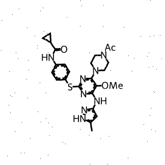 COc1c(Nc2cc(C)[nH]n2)nc(Sc2ccc(NC(=O)C3CC3)cc2)nc1N1CCN(C(C)=O)CC1